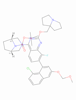 COCOc1cc(-c2ccc3c(N4C[C@H]5CC[C@@H](C4)N5C(=O)OC(C)(C)C)nc(OCC45CCCN4CCC5)nc3c2F)c2c(Cl)cccc2c1